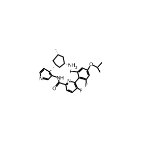 CC(C)Oc1cc(F)c(-c2nc(C(=O)Nc3cnccc3[C@@H]3C[C@H](C)C[C@H](N)C3)ccc2F)c(F)c1